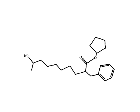 CC(C#N)CCCCCCC(Cc1ccccc1)C(=O)OC1CCCC1